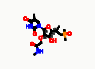 CNC(=O)CO[C@@H]1[C@H](O)[C@@H]([C@@H](C)CP(C)(C)=O)O[C@H]1n1cc(C)c(=O)[nH]c1=O